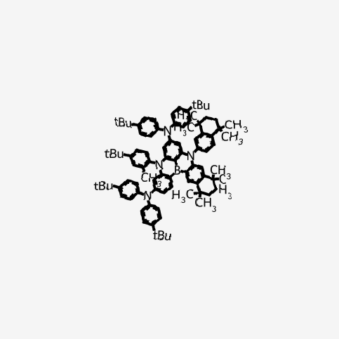 Cc1cc(C(C)(C)C)ccc1N1c2cc(N(c3ccc(C(C)(C)C)cc3)c3ccc(C(C)(C)C)cc3)ccc2B2c3cc4c(cc3N(c3ccc5c(c3)C(C)(C)CCC5(C)C)c3cc(N(c5ccc(C(C)(C)C)cc5)c5ccc(C(C)(C)C)cc5)cc1c32)C(C)(C)CCC4(C)C